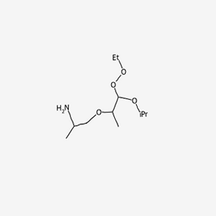 CCOOC(OC(C)C)C(C)OCC(C)N